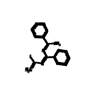 C=C(I)/N=C(\N=C(/N)c1ccccc1)c1ccccc1